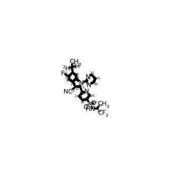 [2H]C([2H])(C)c1cc2c(cc1F)c(C#N)c(-c1ccc(S(=O)(=O)N[C@@H](C)C(F)(F)F)cn1)n2-c1ncccn1